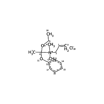 C=CC[N+](C)(C)C(C)(OCC)Oc1ccccc1.[Cl-]